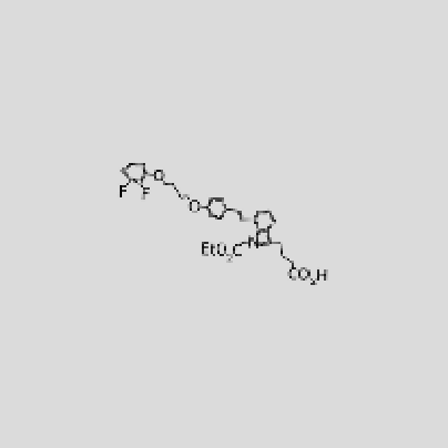 CCOC(=O)Cn1cc(CCCC(=O)O)c2cccc(C=Cc3ccc(OCCCCOc4cccc(F)c4F)cc3)c21